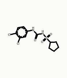 O=C(Nc1ccc(Cl)c(Cl)c1)NS(=O)(=O)C1CCCC1